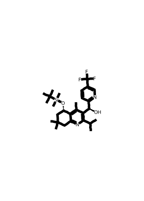 Cc1c([C@H](O)c2ccc(C(F)(F)F)cn2)c(C(C)C)nc2c1[C@@H](O[Si](C)(C)C(C)(C)C)CC(C)(C)C2